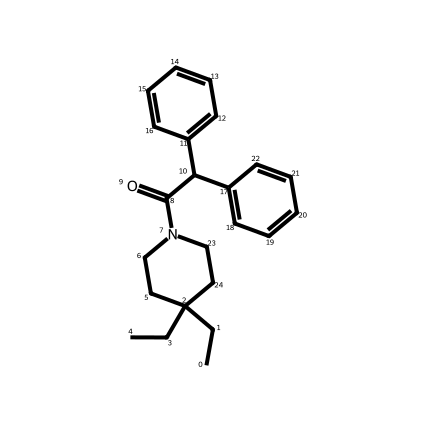 CCC1(CC)CCN(C(=O)C(c2ccccc2)c2ccccc2)CC1